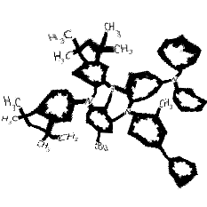 Cc1cc(-c2ccccc2)ccc1N1c2cc(N(c3ccccc3)c3ccccc3)ccc2B2c3cc4c(cc3N(c3ccc5c(c3)C(C)(C)CC5(C)C)c3cc(C(C)(C)C)cc1c32)C(C)(C)CC4(C)C